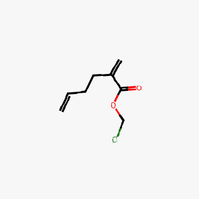 C=CCCC(=C)C(=O)OCCl